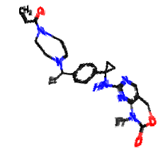 C=CC(=O)N1CCN(C(CC)c2ccc(C3(Nc4ncc5c(n4)N(C(C)C)C(=O)OC5)CC3)cc2)CC1